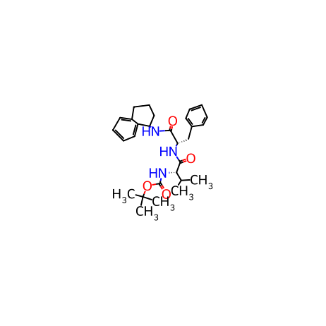 CC(C)[C@H](NC(=O)OC(C)(C)C)C(=O)N[C@@H](Cc1ccccc1)C(=O)N[C@@H]1CCCc2ccccc21